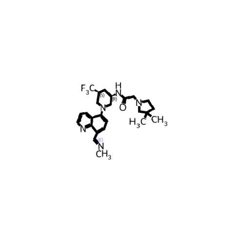 C/N=C/c1ccc(N2C[C@H](NC(=O)CN3CCC(C)(C)C3)C[C@H](C(F)(F)F)C2)c2cccnc12